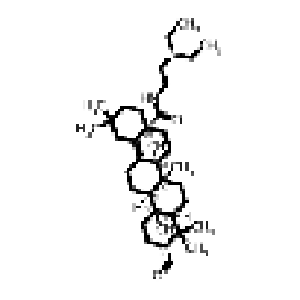 CCN(CC)CCNC(=O)[C@]12CCC(C)(C)CC1=C1CC[C@@H]3[C@@]4(C)CC[C@H](C=O)C(C)(C)[C@@H]4CC[C@@]3(C)[C@]1(C)CC2